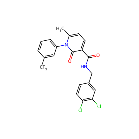 Cc1ccc(C(=O)NCc2ccc(Cl)c(Cl)c2)c(=O)n1-c1cccc(C(F)(F)F)c1